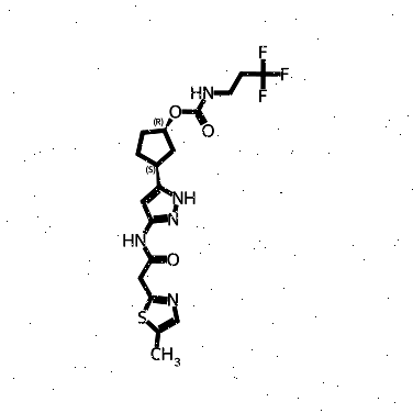 Cc1cnc(CC(=O)Nc2cc([C@H]3CC[C@@H](OC(=O)NCCC(F)(F)F)C3)[nH]n2)s1